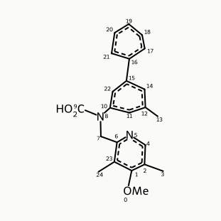 COc1c(C)cnc(CN(C(=O)O)c2cc(C)cc(-c3ccccc3)c2)c1C